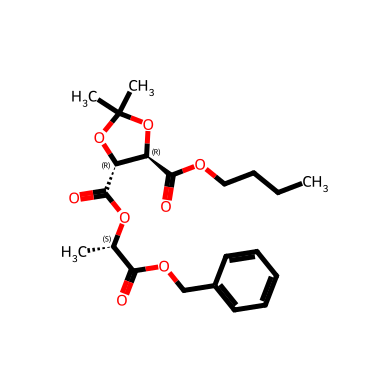 CCCCOC(=O)[C@@H]1OC(C)(C)O[C@H]1C(=O)O[C@@H](C)C(=O)OCc1ccccc1